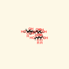 O=C(CO)[C@@H](O)[C@H](O)[C@H](O)CO.O=C[C@H](O)[C@@H](O)[C@@H](O)CO.OC[C@@H](O)[C@H](O)[C@@H](O)CO